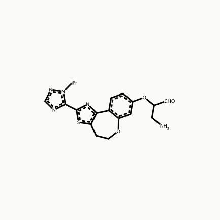 CC(C)n1ncnc1-c1nc2c(s1)CCOc1cc(OC(C=O)CN)ccc1-2